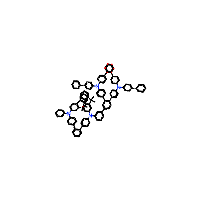 CC1(C)c2ccccc2-c2ccc(N(c3ccccc3)c3ccc(-c4ccccc4-c4ccc(N(c5cccc(-c6ccc(-c7ccc(N(c8ccc(-c9ccccc9)cc8)c8ccc(-c9ccccc9)cc8)cc7)c(-c7ccc(N(c8ccc(-c9ccccc9)cc8)c8ccc(-c9ccccc9)cc8)cc7)c6)c5)c5ccc6c(c5)C(C)(C)c5ccccc5-6)cc4)cc3)cc21